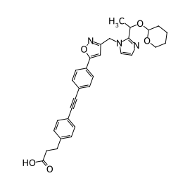 CC(OC1CCCCO1)c1nccn1Cc1cc(-c2ccc(C#Cc3ccc(CCC(=O)O)cc3)cc2)on1